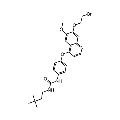 COc1cc2c(Oc3ccc(NC(=O)NCCC(C)(C)C)cc3)ccnc2cc1OCCBr